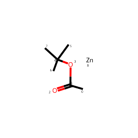 CC(=O)OC(C)(C)C.[Zn]